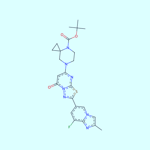 Cc1cn2cc(-c3nn4c(=O)cc(N5CCN(C(=O)OC(C)(C)C)C6(CC6)C5)nc4s3)cc(F)c2n1